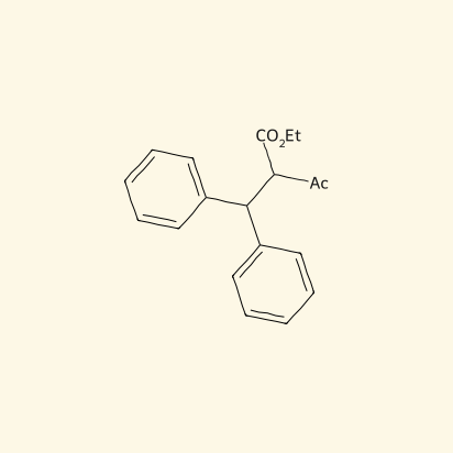 CCOC(=O)C(C(C)=O)C(c1ccccc1)c1ccccc1